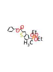 CCOP(=O)(OCC)C(C)c1ccc2sc(C(=O)OCc3ccccc3)cc2c1